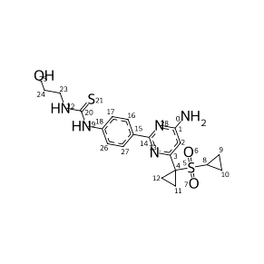 Nc1cc(C2(S(=O)(=O)C3CC3)CC2)nc(-c2ccc(NC(=S)NCCO)cc2)n1